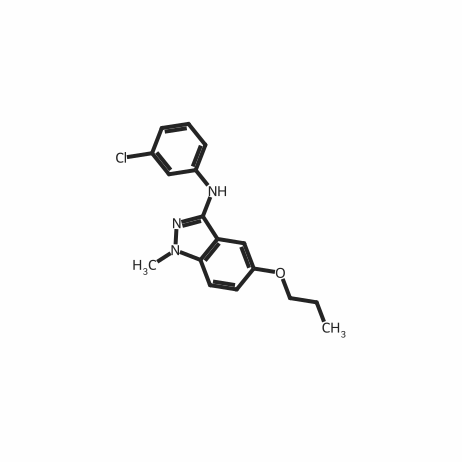 CCCOc1ccc2c(c1)c(Nc1cccc(Cl)c1)nn2C